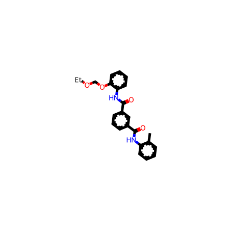 CCOCOc1ccccc1NC(=O)c1cccc(C(=O)Nc2ccccc2C)c1